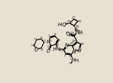 CNc1cc(Nc2cccn([C@H]3CCCOC3)c2=O)nc2c(C(=O)N[C@@H]3CC[C@@H]3O)cnn12